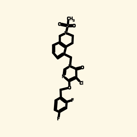 CS(=O)(=O)N1CCc2c(cccc2Cn2cnc(OCc3ccc(F)cc3F)c(Cl)c2=O)C1